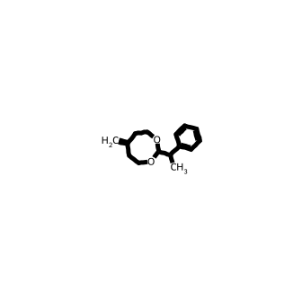 C=C1CCOC(C(C)c2ccccc2)OCC1